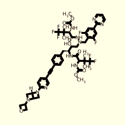 COC(=O)NC(C(=O)N[C@@H](Cc1ccc(C#Cc2ccc(N3CC4[C@@H]3CN4C3COC3)nc2)cc1)[C@@H](O)CN(Cc1c(F)cc(-c2ncccn2)cc1F)NC(=O)[C@@H](NC(=O)OC)C(C)(C)C(F)(F)F)C(C)(C)C(F)(F)F